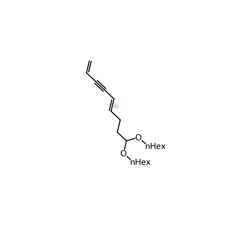 C=CC#C/C=C/CCC(OCCCCCC)OCCCCCC